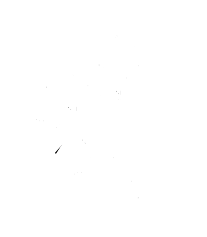 CC[C@H](NC(=O)OCc1ccccc1)C(=O)NC(C)Cc1c[nH]c2ccccc12